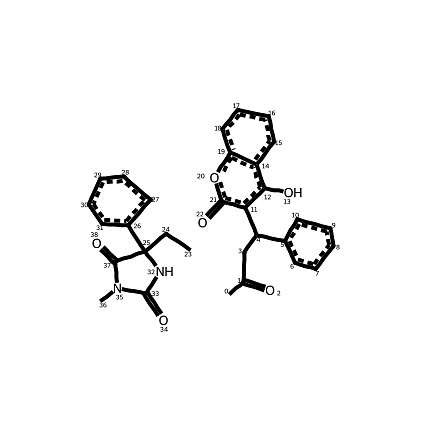 CC(=O)CC(c1ccccc1)c1c(O)c2ccccc2oc1=O.CCC1(c2ccccc2)NC(=O)N(C)C1=O